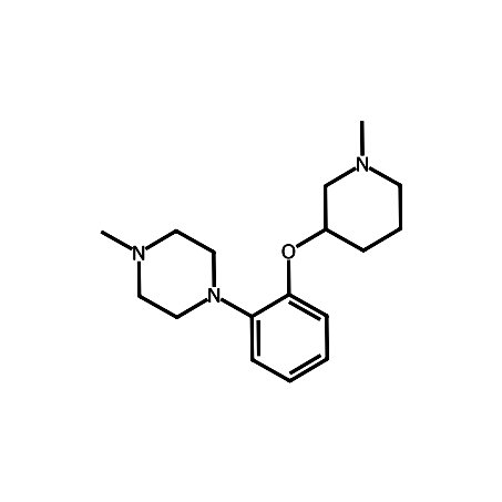 CN1CCN(c2ccccc2OC2CCCN(C)C2)CC1